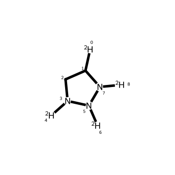 [2H]C1CN([2H])N([2H])N1[2H]